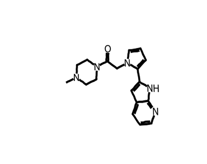 CN1CCN(C(=O)Cn2cccc2-c2cc3cccnc3[nH]2)CC1